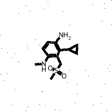 CNc1ccc(N)c(C2CC2)c1CS(C)(=O)=O